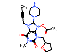 CC#CCN1c2c(n(CC3CCCO3)c(=O)n(C)c2=O)N(OC(=O)C(F)(F)F)C1N1CCNCC1